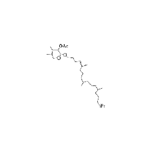 CC(=O)OC1C(OCCCC=C(C)CCCC(C)CCCC(C)CCCC(C)C)OCC(C)C1C